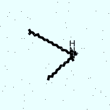 CCCCCCCCCCCCC(C)[n+]1cc[nH]c1CCCCCCCCCCCCCCCCC(C)C